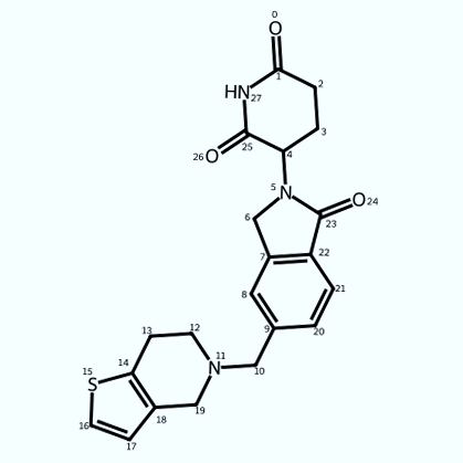 O=C1CCC(N2Cc3cc(CN4CCc5sccc5C4)ccc3C2=O)C(=O)N1